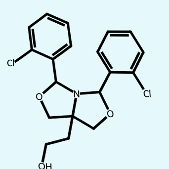 OCCC12COC(c3ccccc3Cl)N1C(c1ccccc1Cl)OC2